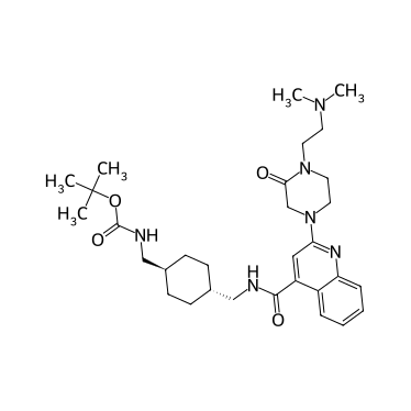 CN(C)CCN1CCN(c2cc(C(=O)NC[C@H]3CC[C@H](CNC(=O)OC(C)(C)C)CC3)c3ccccc3n2)CC1=O